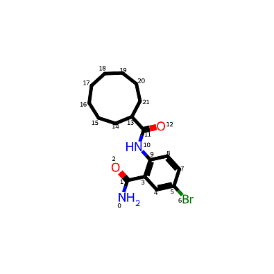 NC(=O)c1cc(Br)ccc1NC(=O)C1CCCCCCCC1